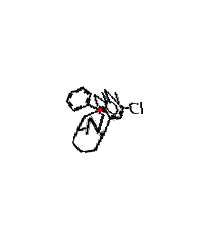 O=C(c1ccccc1)N1C2CCCC1c1cc(Cl)nnc1C2